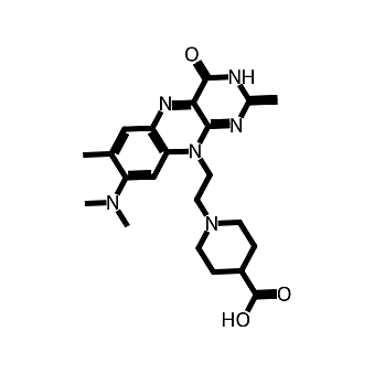 C=c1nc2c(c(=O)[nH]1)=Nc1cc(C)c(N(C)C)cc1N2CCN1CCC(C(=O)O)CC1